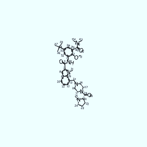 COc1c(NC(=O)c2cc3cccc(CN4CCN(C(=O)[C@@H]5CCCN5C)CC4)c3n2C)cc(C(C)(C)C)cc1C(=O)N(C)C